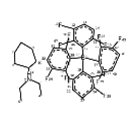 CC[NH+](CC)C1CCCCC1.Fc1ccc(F)c([B-](c2c(F)ccc(F)c2F)(c2c(F)ccc(F)c2F)c2c(F)ccc(F)c2F)c1F